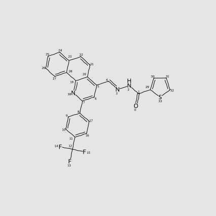 O=C(N/N=C/c1cc(-c2ccc(C(F)(F)F)cc2)nc2c1ccc1ccccc12)c1cccs1